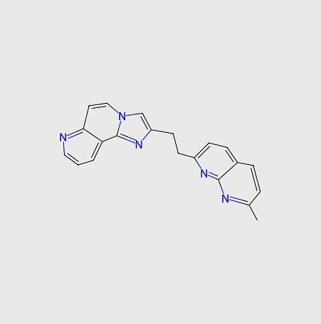 Cc1ccc2ccc(CCc3cn4ccc5ncccc5c4n3)nc2n1